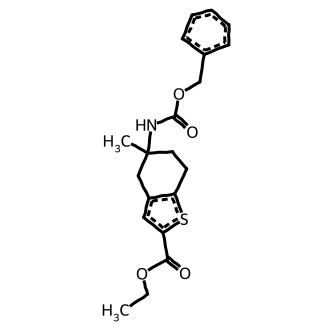 CCOC(=O)c1cc2c(s1)CCC(C)(NC(=O)OCc1ccccc1)C2